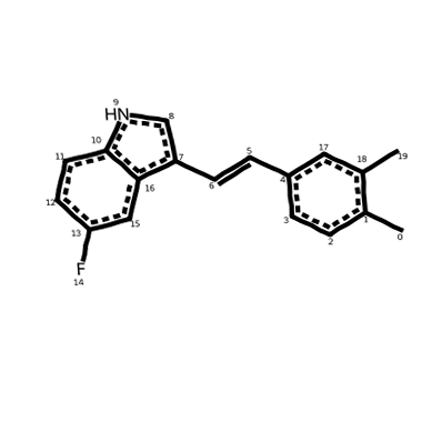 Cc1ccc(/C=C/c2c[nH]c3ccc(F)cc23)cc1C